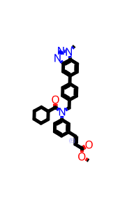 COC(=O)/C=C/c1cccc(N(Cc2ccc(-c3ccc4c(c3)nnn4C)cc2)C(=O)C2CCCCC2)c1